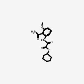 COc1cccc(NC(=O)C(=O)OC2CCCCC2)c1C(N)=O